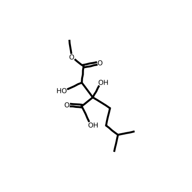 COC(=O)C(O)C(O)(CCC(C)C)C(=O)O